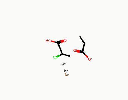 CC(Cl)C(=O)O.CCC(=O)[O-].[Br-].[K+].[K+]